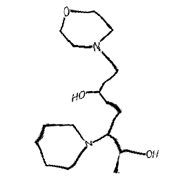 [CH2][C@H](O)C(CC(O)CN1CCOCC1)N1CCCCC1